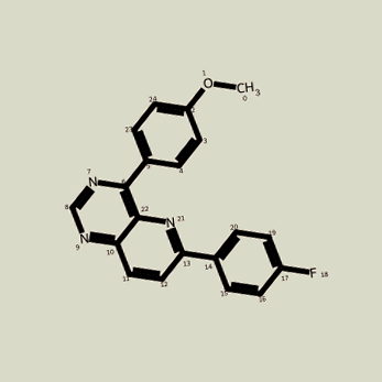 COc1ccc(-c2ncnc3ccc(-c4ccc(F)cc4)nc23)cc1